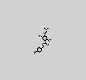 CCN(C)/C=N/c1cc(OC)c(C(=O)OCc2ccc(F)cc2)cc1Br